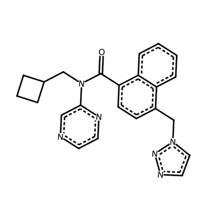 O=C(c1ccc(Cn2ccnn2)c2ccccc12)N(CC1CCC1)c1cnccn1